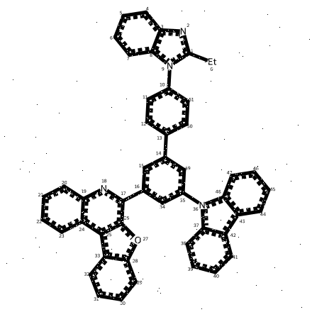 CCc1nc2ccccc2n1-c1ccc(-c2cc(-c3nc4ccccc4c4c3oc3ccccc34)cc(-n3c4ccccc4c4ccccc43)c2)cc1